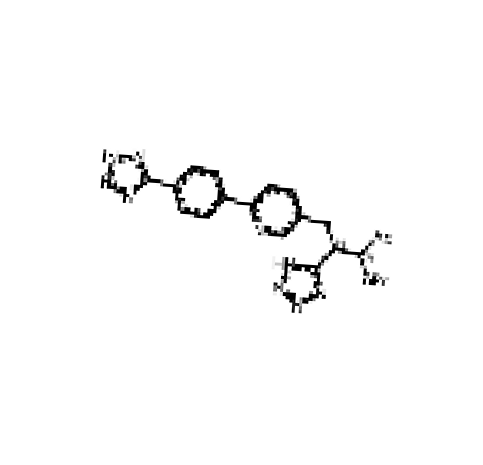 CCC[C@H](C(C)=O)[C@H](Cc1ccc(-c2ccc(-c3nn[nH]n3)cc2)nc1)c1nnn[nH]1